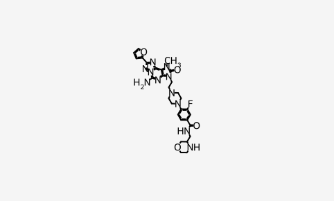 Cn1c(=O)n(CCN2CCN(c3ccc(C(=O)NCC4COCCN4)cc3F)CC2)c2nc(N)n3nc(-c4ccco4)nc3c21